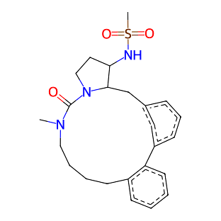 CN1CCCCc2ccccc2-c2cccc(c2)CC2C(NS(C)(=O)=O)CCN2C1=O